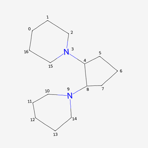 C1CCN(C2CCCC2N2CCCCC2)CC1